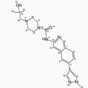 Cn1cc(-c2ccc3cnc(NC(=O)N4CCN(CC(C)(C)O)CC4)cc3c2)cn1